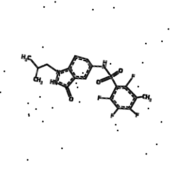 Cc1c(F)c(F)c(F)c(S(=O)(=O)Nc2ccc3c(c2)c(=O)[nH]n3CC(C)C)c1F